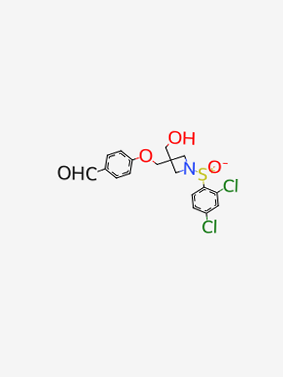 O=Cc1ccc(OCC2(CO)CN([S+]([O-])c3ccc(Cl)cc3Cl)C2)cc1